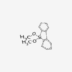 CO[Si]1(OC)c2ccccc2-c2ccccc21